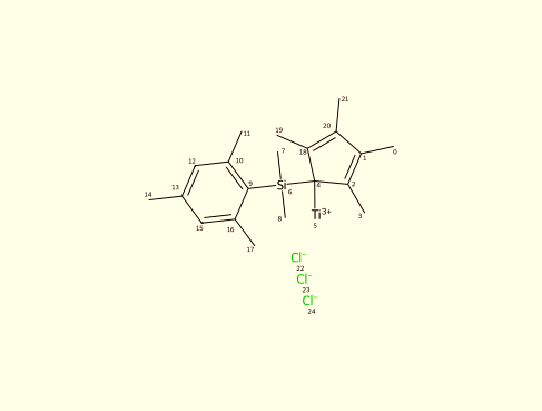 CC1=C(C)[C]([Ti+3])([Si](C)(C)c2c(C)cc(C)cc2C)C(C)=C1C.[Cl-].[Cl-].[Cl-]